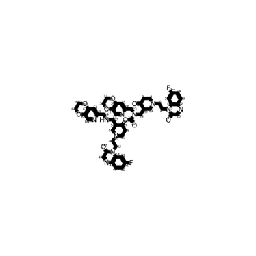 O=C1CCN(CCn2c(=O)cnc3ccc(F)cc32)CC1CN(Cc1cc2c(cn1)OCCO2)C(=O)OC1CCN(CCn2c(=O)cnc3ccc(F)cc32)CC1CNCc1cc2c(cn1)OCCO2